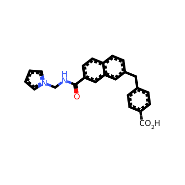 O=C(O)c1ccc(Cc2ccc3ccc(C(=O)NCn4cccc4)cc3c2)cc1